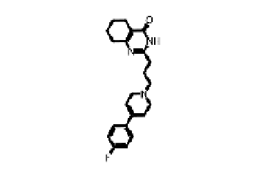 O=c1[nH]c(CCCN2CC=C(c3ccc(F)cc3)CC2)nc2c1CCCC2